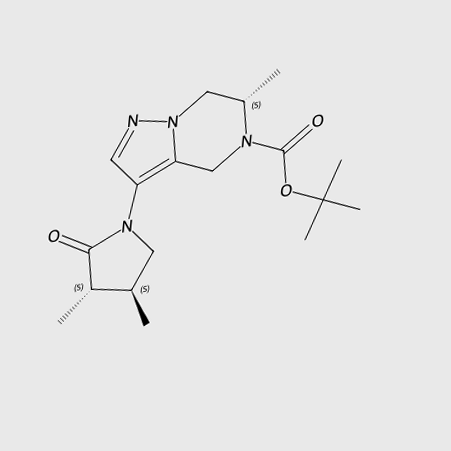 C[C@@H]1CN(c2cnn3c2CN(C(=O)OC(C)(C)C)[C@@H](C)C3)C(=O)[C@H]1C